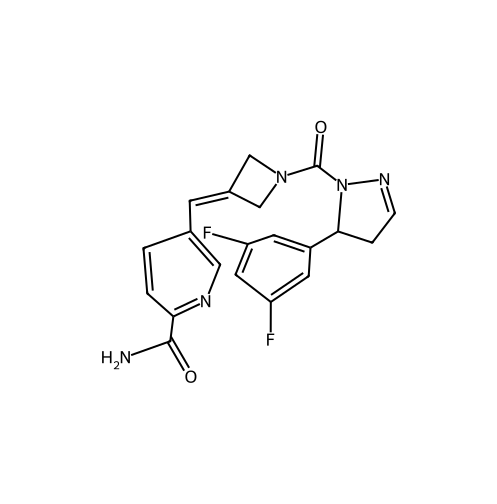 NC(=O)c1ccc(C=C2CN(C(=O)N3N=CCC3c3cc(F)cc(F)c3)C2)cn1